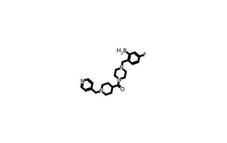 Bc1cc(F)ccc1CN1CCN(C(=O)C2CCN(Cc3ccncc3)CC2)CC1